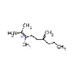 C=C(CCC)CC/C(C)=C(\C)N